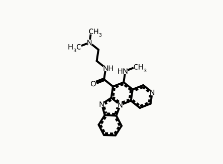 CNc1c(C(=O)NCCN(C)C)c2nc3ccccc3n2c2ccncc12